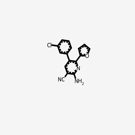 N#Cc1cc(-c2cccc(Cl)c2)c(-c2ccco2)nc1N